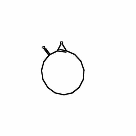 O=C1CCCCCCCCCCCCC2=C1O2